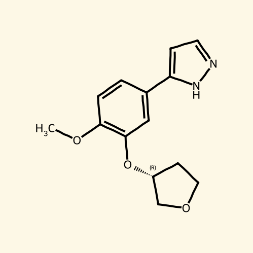 COc1ccc(-c2ccn[nH]2)cc1O[C@@H]1CCOC1